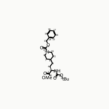 COC(=O)[C@@H](CCC1CCN(C(=O)OCc2ccccc2)CC1)NC(=O)OC(C)(C)C